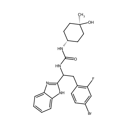 C[C@]1(O)CC[C@H](NC(=O)NC(Cc2ccc(Br)cc2F)c2nc3ccccc3[nH]2)CC1